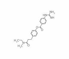 CCN(C)C(=O)CCc1ccc(OC(=O)c2ccc(NC(=N)N)cc2)cc1